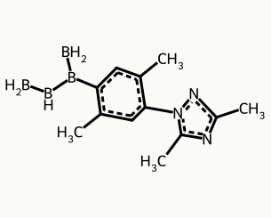 BBB(B)c1cc(C)c(-n2nc(C)nc2C)cc1C